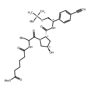 C#Cc1ccc([C@H](CO[Si](C)(C)C(C)(C)C)NC(=O)[C@@H]2C[C@@H](O)CN2C(=O)C(NC(=O)CCCCC(=O)OC)C(C)(C)C)cc1